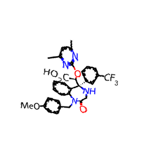 COc1ccc(CN2C(=O)CN[C@](c3cccc(C(F)(F)F)c3)([C@H](Oc3nc(C)cc(C)n3)C(=O)O)c3ccccc32)cc1